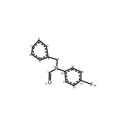 O=CN(Cc1ccccc1)c1ccc(F)cc1